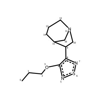 CCCOc1nsnc1C1CN2CCCC1C2